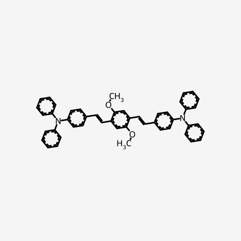 COc1cc(/C=C/c2ccc(N(c3ccccc3)c3ccccc3)cc2)c(OC)cc1/C=C/c1ccc(N(c2ccccc2)c2ccccc2)cc1